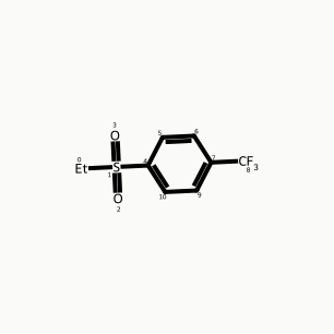 [CH2]CS(=O)(=O)c1ccc(C(F)(F)F)cc1